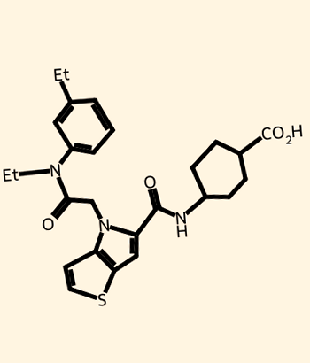 CCc1cccc(N(CC)C(=O)Cn2c(C(=O)NC3CCC(C(=O)O)CC3)cc3sccc32)c1